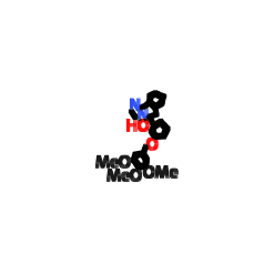 COc1cc(COc2cccc(C3(O)Cc4ccccc4C4=NCCN43)c2)cc(OC)c1OC